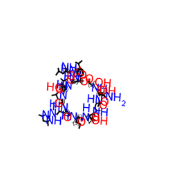 CC[C@H](C)[C@@H]1NC(=O)[C@@H](CCCNC2=NC(C)CC(C)N2)NC(=O)[C@H](CC(C)C)NC(=O)[C@H]([C@H](O)C(C)C)NC(=O)[C@@H](NC(=O)[C@H](CC(C)C)NC(=O)[C@H](N)CC(C)C)[C@@H](c2ccccc2)OC(=O)[C@H](CO)NC(=O)[C@H]([C@H](O)C(N)=O)NC(=O)CNC(=O)[C@H]([C@H](C)O)NC1=O